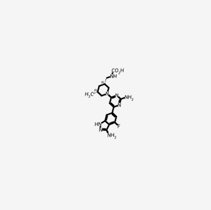 C[C@@H]1C[C@H](CNC(=O)O)CN(c2cc(-c3cc(F)c4c(N)n[nH]c4c3)nc(N)n2)C1